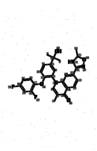 Cc1cn(-c2cc(C(C)(C)O)ccc2Oc2ccc(F)cc2F)c2cc(C3=NOC(C)N3)ccc2c1=O